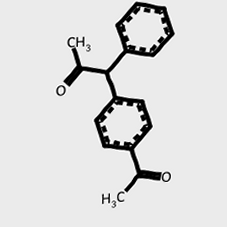 CC(=O)c1ccc(C(C(C)=O)c2ccccc2)cc1